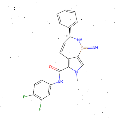 Cn1cc2c(c1C(=O)Nc1ccc(F)c(F)c1)C=C[C@@H](c1ccccc1)NS2=N